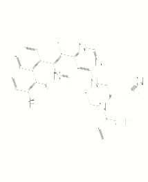 C=CC(O)N1CCN(c2ncnc3c(F)c(-c4cccc5ccc(F)c(Cl)c45)ncc23)C[C@@H]1CC#N